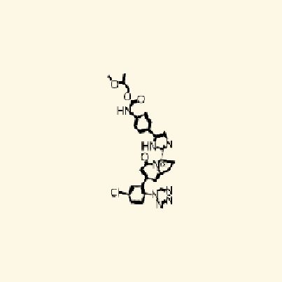 COC(C)COC(=O)Nc1ccc(-c2cnc([C@@H]3CCc4cc(-c5cc(Cl)ccc5-n5cnnn5)cc(=O)n43)[nH]2)cc1